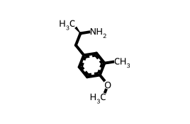 COc1ccc(C[C@@H](C)N)cc1C